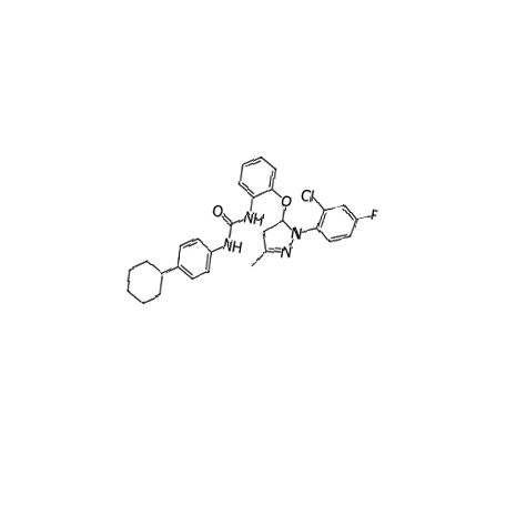 CC1=NN(c2ccc(F)cc2Cl)C(Oc2ccccc2NC(=O)Nc2ccc(C3CCCCC3)cc2)C1